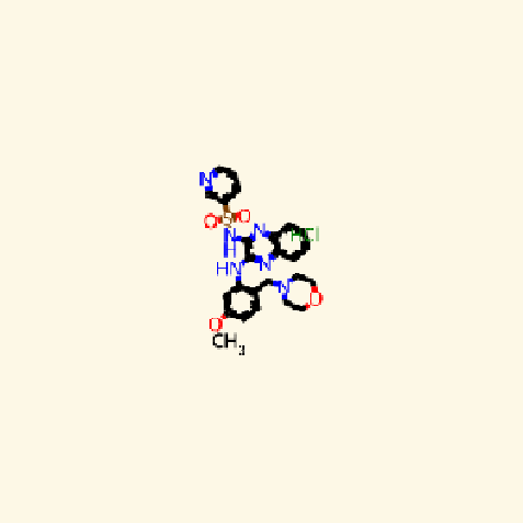 COc1ccc(CN2CCOCC2)c(Nc2nc3ccccc3nc2NS(=O)(=O)c2cccnc2)c1.Cl